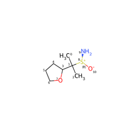 CC(C)(C1CCCO1)[S@@+](N)[O-]